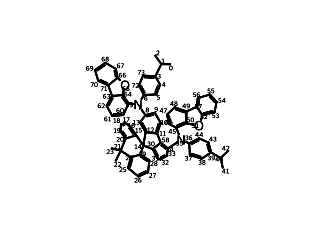 CC(C)c1ccc(N(c2ccc3c(c2)C2(c4ccccc4C(C)(C)c4ccccc42)c2cccc(N(c4ccc(C(C)C)cc4)c4cccc5c4oc4ccccc45)c2-3)c2cccc3c2oc2ccccc23)cc1